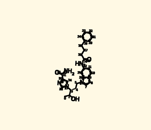 C[C@H](O)[C@@H](CCn1ccc2ccc(NC(=O)CCCc3ccccc3)cc21)n1cnc(C(N)=O)c1